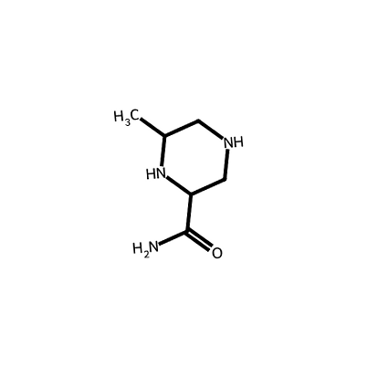 CC1CNCC(C(N)=O)N1